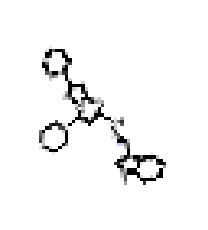 C(=N\Nc1cc(N2CCOCC2)n2nc(-c3ccccn3)cc2n1)/c1c[nH]c2ccccc12